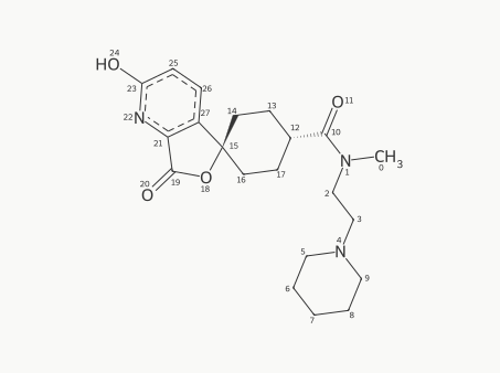 CN(CCN1CCCCC1)C(=O)[C@H]1CC[C@@]2(CC1)OC(=O)c1nc(O)ccc12